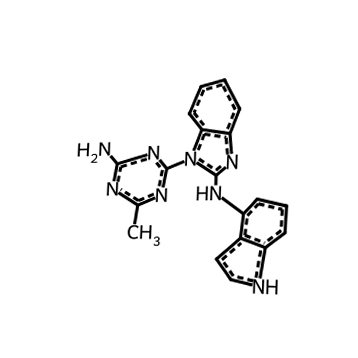 Cc1nc(N)nc(-n2c(Nc3cccc4[nH]ccc34)nc3ccccc32)n1